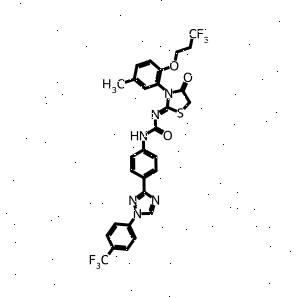 Cc1ccc(OCCC(F)(F)F)c(N2C(=O)CS/C2=N\C(=O)Nc2ccc(-c3ncn(-c4ccc(C(F)(F)F)cc4)n3)cc2)c1